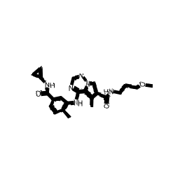 COCCCNC(=O)c1cn2ncnc(Nc3cc(C(=O)NC4CC4)ccc3C)c2c1C